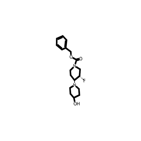 O=C(OCc1ccccc1)N1CC[C@@H](N2CCC(O)CC2)[C@@H](F)C1